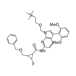 COc1cccc(OC)c1-c1cn(COCC[Si](C)(C)C)c2nc(NC(=O)C3C(F)C3COCc3ccccc3)ccc12